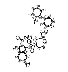 NC(=O)c1[nH]c2ccc(Cl)cc2c1S(=O)(=O)N1CCOC(COc2cncc(-c3ccccc3F)c2)C1